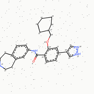 O=C(Nc1ccc2c(c1)CCNCC2)c1ccc(-c2cn[nH]c2)cc1OCC1CCCCC1